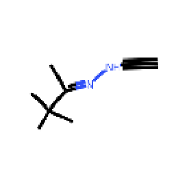 C#CN/N=C(\C)C(C)(C)C